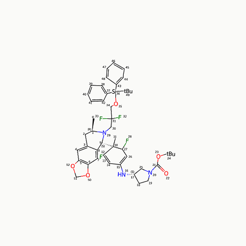 C[C@@H]1Cc2cc3c(cc2[C@@H](C2(C)C(F)=CC(N[C@H]4CCN(C(=O)OC(C)(C)C)C4)=CC2F)N1CC(F)(F)CO[Si](c1ccccc1)(c1ccccc1)C(C)(C)C)OCO3